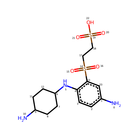 Nc1ccc(NC2CCC(N)CC2)c(S(=O)(=O)CCS(=O)(=O)O)c1